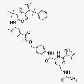 C/C(=C\[C@@H](NC(=O)[C@@H](NC(=O)[C@@H](N(C)C)C(C)(C)c1ccccc1)C(C)(C)C)C(C)C)C(=O)NOCc1ccc(NC(=O)[C@H](CCCNC(N)=O)NC(=O)[C@@H](N)C(C)C)cc1